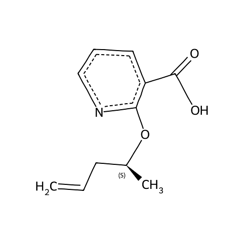 C=CC[C@H](C)Oc1ncccc1C(=O)O